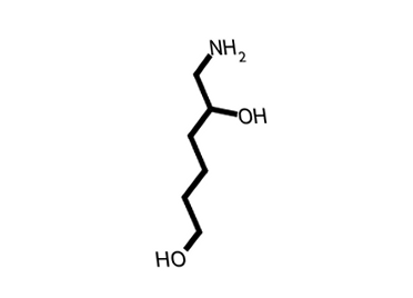 NCC(O)CCCCO